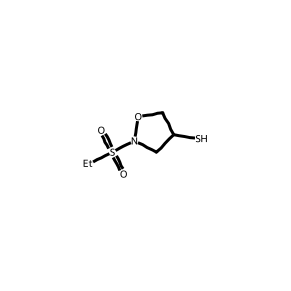 CCS(=O)(=O)N1CC(S)CO1